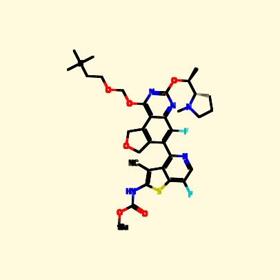 C[C@H](Oc1nc(OCOCC[Si](C)(C)C)c2c3c(c(-c4ncc(F)c5sc(NC(=O)OC(C)(C)C)c(C#N)c45)c(F)c2n1)COC3)[C@@H]1CCCN1C